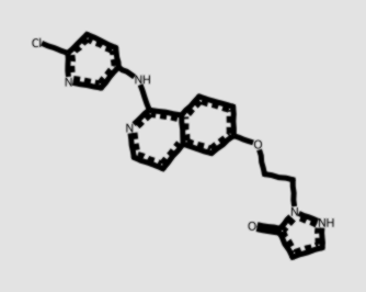 O=c1cc[nH]n1CCOc1ccc2c(Nc3ccc(Cl)nc3)nccc2c1